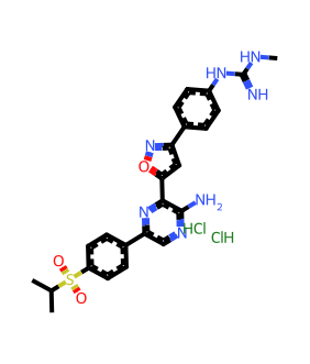 CNC(=N)Nc1ccc(-c2cc(-c3nc(-c4ccc(S(=O)(=O)C(C)C)cc4)cnc3N)on2)cc1.Cl.Cl